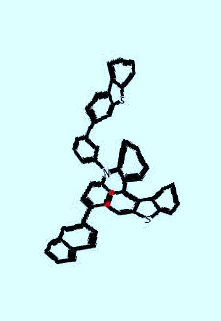 c1cc(-c2ccc3c(c2)sc2ccccc23)cc(N(c2ccc(-c3ccc4ccccc4c3)cc2)c2ccccc2-c2cccc3sc4ccccc4c23)c1